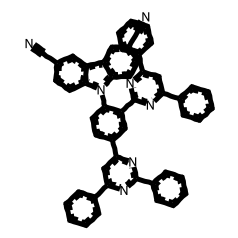 N#Cc1ccc2c(c1)c1cc(C#N)ccc1n2-c1ccc(-c2cc(-c3ccccc3)nc(-c3ccccc3)n2)cc1-c1nc(-c2ccccc2)cc(-c2ccccc2)n1